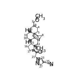 COC[C@H]1CC[C@]2(C3CC3)C3CC[C@@]4(C)C(CC[C@@H]4C(=O)Cn4cc(C#N)cn4)[C@@H]3CC[C@@H]2C1